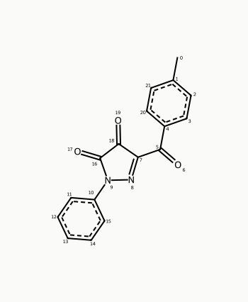 Cc1ccc(C(=O)C2=NN(c3ccccc3)C(=O)C2=O)cc1